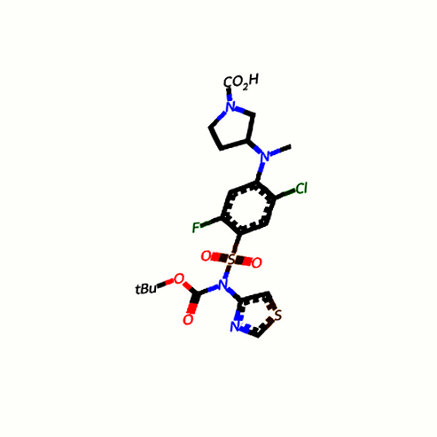 CN(c1cc(F)c(S(=O)(=O)N(C(=O)OC(C)(C)C)c2cscn2)cc1Cl)C1CCN(C(=O)O)C1